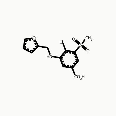 CS(=O)(=O)c1cc(C(=O)O)cc(NCc2ccco2)c1Cl